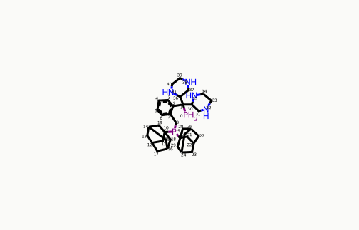 PC(c1ccccc1CP(C12CC3CC(CC(C3)C1)C2)C12CC3CC(CC(C3)C1)C2)(C1CNCCN1)C1CNCCN1